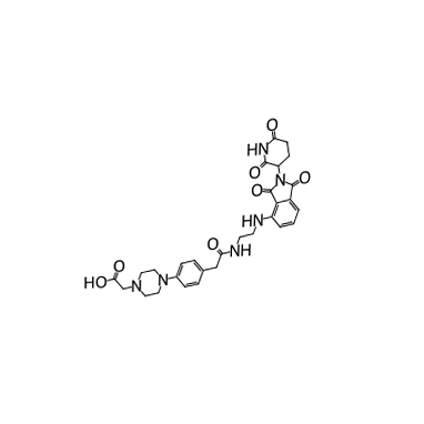 O=C(O)CN1CCN(c2ccc(CC(=O)NCCNc3cccc4c3C(=O)N(C3CCC(=O)NC3=O)C4=O)cc2)CC1